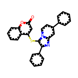 O=c1cc(Sc2c(-c3ccccc3)nc3cc(-c4ccccc4)ccn23)c2ccccc2o1